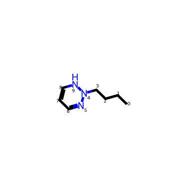 CCCCN1N=CC=CN1